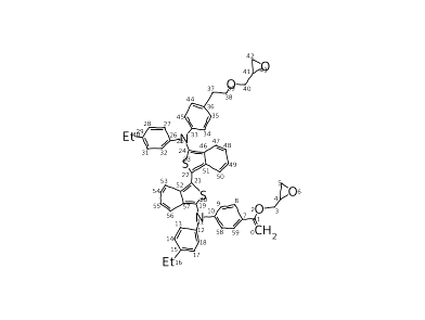 C=C(OCC1CO1)c1ccc(N(c2ccc(CC)cc2)c2sc(-c3sc(N(c4ccc(CC)cc4)c4ccc(CCOCC5CO5)cc4)c4ccccc34)c3ccccc23)cc1